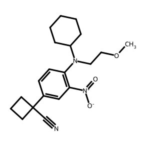 COCCN(c1ccc(C2(C#N)CCC2)cc1[N+](=O)[O-])C1CCCCC1